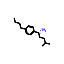 CCCCc1ccc([C@H](N)CCC(C)C)cc1